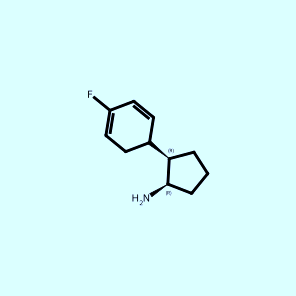 N[C@@H]1CCC[C@@H]1C1C=CC(F)=CC1